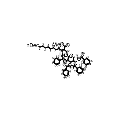 CCCCCCCCCCCCCCCCCC(=O)NC(CO[C@@H]1O[C@H](COC(=O)c2ccccc2)[C@H](OC(=O)c2ccccc2)[C@H](OC(=O)c2ccccc2)[C@H]1OC(=O)c1ccccc1)C(=O)OC